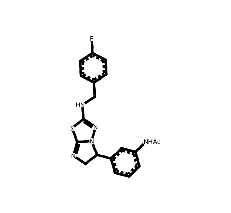 CC(=O)Nc1cccc(C2CN=C3SC(NCc4ccc(F)cc4)=NN32)c1